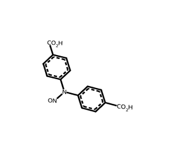 O=NN(c1ccc(C(=O)O)cc1)c1ccc(C(=O)O)cc1